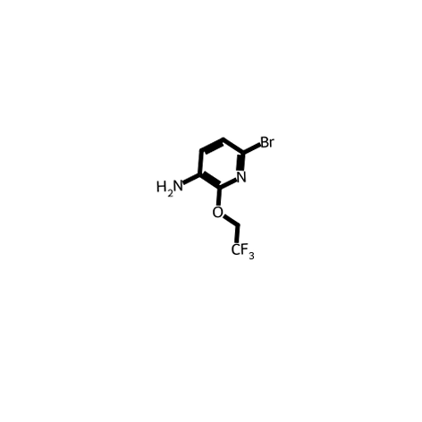 Nc1ccc(Br)nc1OCC(F)(F)F